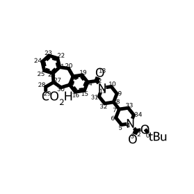 CC(C)(C)OC(=O)N1CCC(C2CCN(C(=O)c3ccc4c(c3)Cc3ccccc3C(CC(=O)O)C4)CC2)CC1